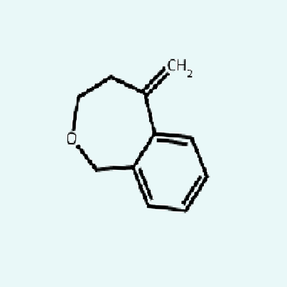 C=C1CCOCc2ccccc21